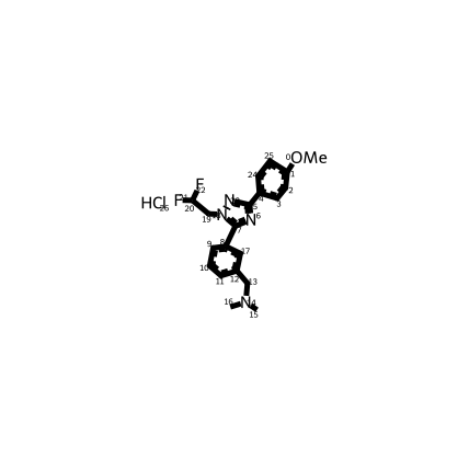 COc1ccc(-c2nc(-c3cccc(CN(C)C)c3)n(CC(F)F)n2)cc1.Cl